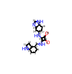 O=c1c(NCc2cccc3[nH]ccc23)c(Nc2ccc3[nH]cnc3c2)c1=O